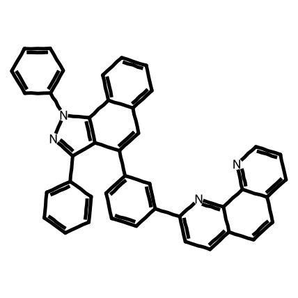 c1ccc(-c2nn(-c3ccccc3)c3c2c(-c2cccc(-c4ccc5ccc6cccnc6c5n4)c2)cc2ccccc23)cc1